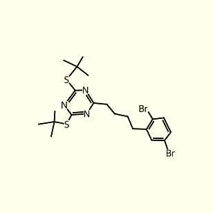 CC(C)(C)Sc1nc(CCCCc2cc(Br)ccc2Br)nc(SC(C)(C)C)n1